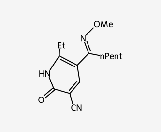 CCCCCC(=NOC)c1cc(C#N)c(=O)[nH]c1CC